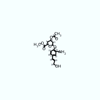 COC(=O)C1CC(OC(C)=O)CC(Oc2ccc(/C=C/CO)cc2N)O1